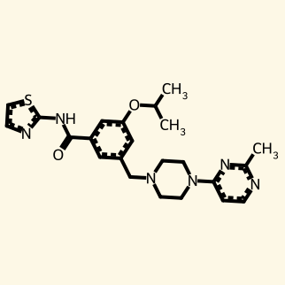 Cc1nccc(N2CCN(Cc3cc(OC(C)C)cc(C(=O)Nc4nccs4)c3)CC2)n1